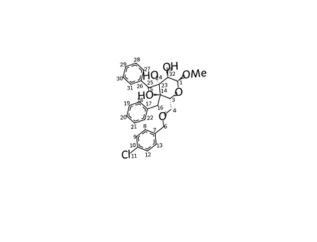 CO[C@H]1O[C@H](COCc2ccc(Cl)cc2)[C@](O)(Cc2ccccc2)[C@@](O)(Cc2ccccc2)[C@H]1O